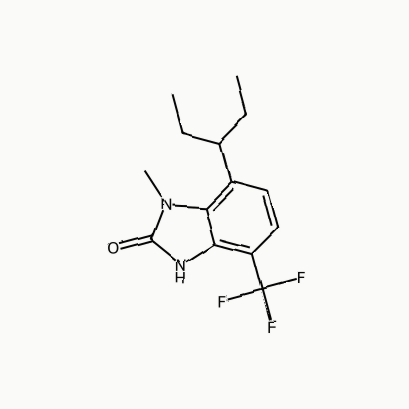 CCC(CC)c1ccc(C(F)(F)F)c2[nH]c(=O)n(C)c12